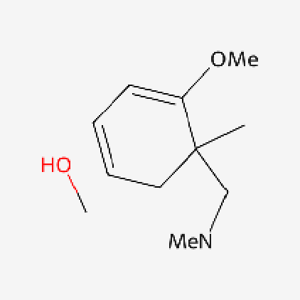 CNCC1(C)CC=CC=C1OC.CO